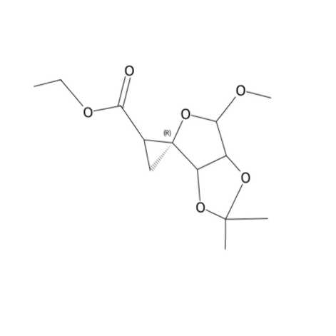 CCOC(=O)C1C[C@@]12OC(OC)C1OC(C)(C)OC12